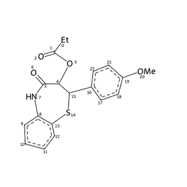 CCC(=O)OC1C(=O)Nc2ccccc2SC1c1ccc(OC)cc1